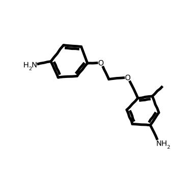 Cc1cc(N)ccc1OCOc1ccc(N)cc1